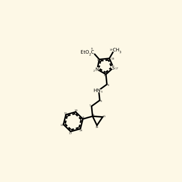 CCOC(=O)c1nc(CNCCC2(c3ccccc3)CC2)sc1C